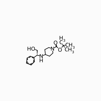 CC(C)(C)OC(=O)N1CCC(N[C@H](CO)c2ccccc2)CC1